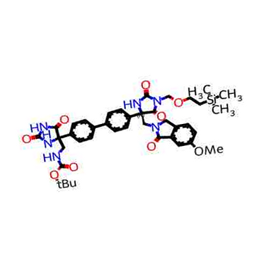 COc1ccc2c(c1)C(=O)N(C[C@@]1(c3ccc(-c4ccc(C5(CNC(=O)OC(C)(C)C)NC(=O)NC5=O)cc4)cc3)NC(=O)N(COCC[Si](C)(C)C)C1=O)C2